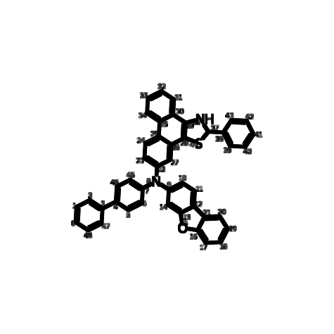 c1ccc(-c2ccc(N(c3ccc4c(c3)oc3ccccc34)c3ccc4c(c3)c3c(c5ccccc54)NC(c4ccccc4)S3)cc2)cc1